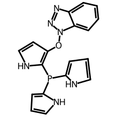 c1c[nH]c(P(c2ccc[nH]2)c2[nH]ccc2On2nnc3ccccc32)c1